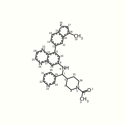 CC(=O)N1CCC(C(Nc2cc(-c3ccc4scc(C)c4c3)c3nccnc3c2)c2cccnc2)CC1